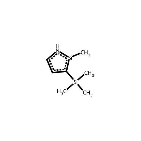 C[si]1[nH]ccc1[Si](C)(C)C